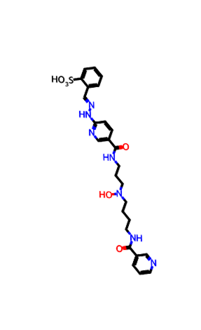 O=C(NCCCCN(O)CCCNC(=O)c1ccc(NN=Cc2ccccc2S(=O)(=O)O)nc1)c1cccnc1